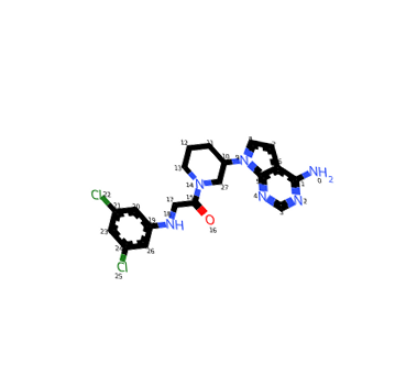 Nc1ncnc2c1ccn2C1CCCN(C(=O)CNc2cc(Cl)cc(Cl)c2)C1